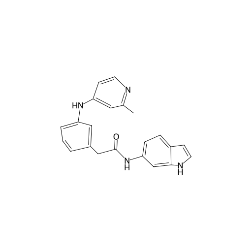 Cc1cc(Nc2cccc(CC(=O)Nc3ccc4cc[nH]c4c3)c2)ccn1